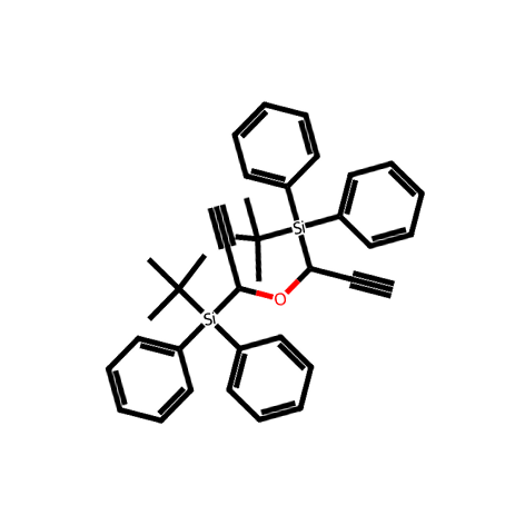 C#CC(OC(C#C)[Si](c1ccccc1)(c1ccccc1)C(C)(C)C)[Si](c1ccccc1)(c1ccccc1)C(C)(C)C